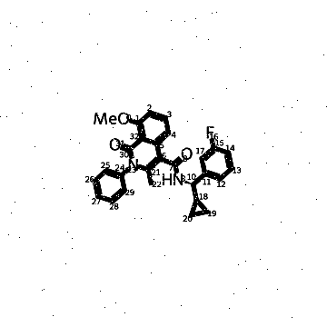 COc1cccc2c(C(=O)N[C@H](c3cccc(F)c3)C3CC3)c(C)n(-c3ccccc3)c(=O)c12